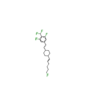 FCCCC/C=C/C1CCC(CCc2cc(F)c(C(F)F)c(F)c2)CC1